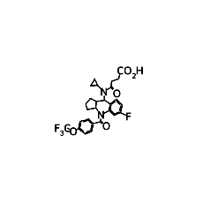 O=C(O)CCC(=O)N(C1CC1)C1c2ccc(F)cc2N(C(=O)c2ccc(OC(F)(F)F)cc2)C2CCCC21